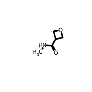 CNC(=O)C1[CH]OC1